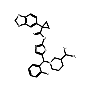 NC(O)C1CCCN(C(c2cnc(NC(=O)C3(c4ccc5c(c4)OCO5)CC3)s2)c2ccccc2Cl)C1